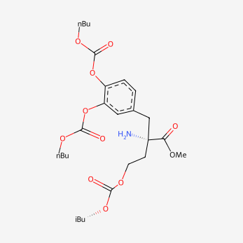 CCCCOC(=O)Oc1ccc(C[C@](N)(CCOC(=O)O[C@@H](C)CC)C(=O)OC)cc1OC(=O)OCCCC